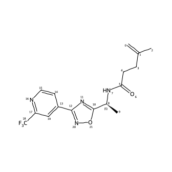 C=C(C)CCC(=O)N[C@@H](C)c1nc(-c2ccnc(C(F)(F)F)c2)no1